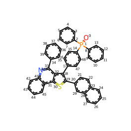 O=P(c1ccccc1)(c1ccccc1)c1ccc(-c2c(-c3ccc4ccccc4c3)sc3c2c(-c2ccccc2)nc2ccccc23)cc1